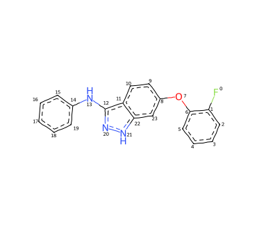 Fc1ccccc1Oc1ccc2c(Nc3ccccc3)n[nH]c2c1